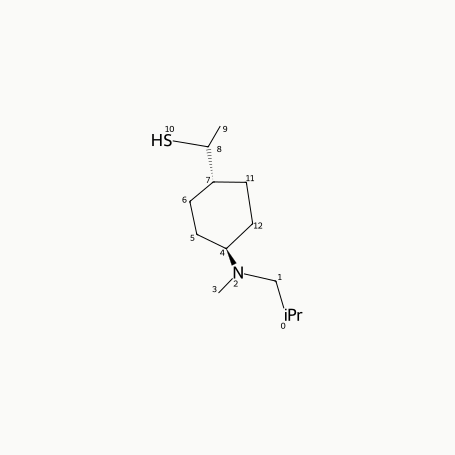 CC(C)CN(C)[C@H]1CC[C@H](C(C)S)CC1